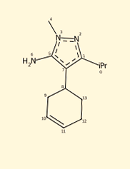 CC(C)c1nn(C)c(N)c1C1CC=CCC1